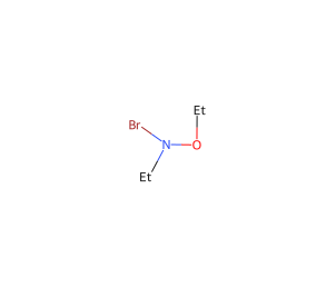 CCON(Br)CC